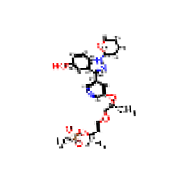 C[C@H](CCOC[C@H](C)Oc1cncc(-c2nn(C3CCCCO3)c3ccc(O)cc23)c1)OS(C)(=O)=O